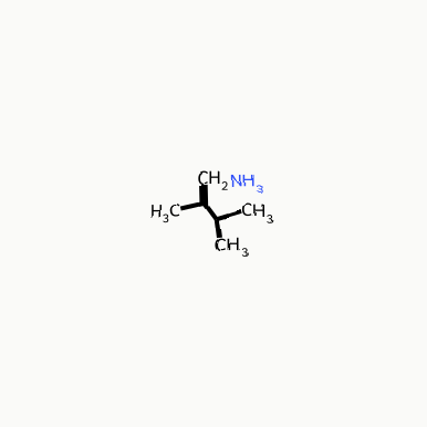 C=C(C)C(C)C.N